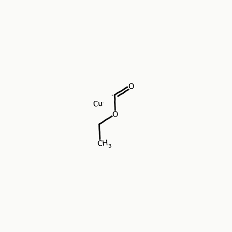 CCO[C]=O.[Cu]